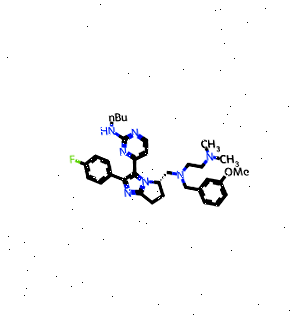 CCCCNc1nccc(-c2c(-c3ccc(F)cc3)nc3n2[C@H](CN(CCN(C)C)Cc2cccc(OC)c2)CC3)n1